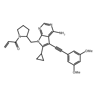 C=CC(=O)N1CCCC1Cn1c(C2CC2)c(C#Cc2cc(OC)cc(OC)c2)c2c(N)ncnc21